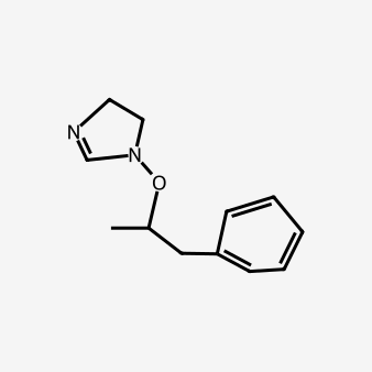 CC(Cc1ccccc1)ON1C=NCC1